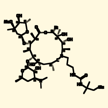 CC[C@H]1OC(=O)[C@H](C)[C@@H](O[C@H]2C[C@@](C)(OC)[C@@H](O)[C@H](C)O2)[C@H](C)[C@@H](O[C@@H]2O[C@H](C)C[C@H](N(C)C)[C@H]2O)[C@](C)(O)C[C@@H](C)CN(CCCNC(=O)NC(C)(C)CC(C)(C)C)[C@H](C)[C@@H](O)[C@]1(C)O